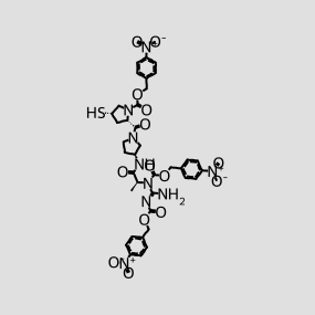 C[C@@H](C(=O)N[C@H]1CCN(C(=O)[C@@H]2C[C@H](S)CN2C(=O)OCc2ccc([N+](=O)[O-])cc2)C1)N(C(=O)OCc1ccc([N+](=O)[O-])cc1)C(N)=NC(=O)OCc1ccc([N+](=O)[O-])cc1